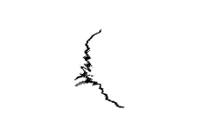 CCCCCCCCCCCCSC(C)SCCCCCCCCCCCC